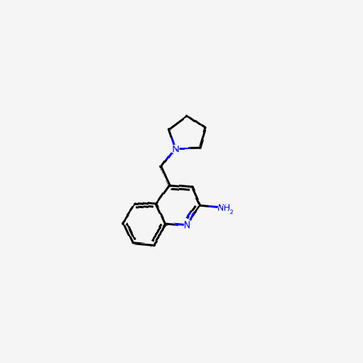 Nc1cc(CN2CCCC2)c2ccccc2n1